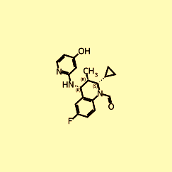 C[C@@H]1[C@@H](Nc2cc(O)ccn2)c2cc(F)ccc2N(C=O)[C@H]1C1CC1